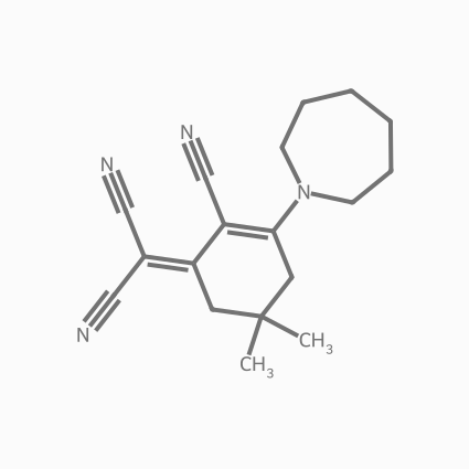 CC1(C)CC(=C(C#N)C#N)C(C#N)=C(N2CCCCCC2)C1